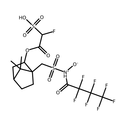 CC1(C)C2CCC1(CS(=O)(=O)[NH+]([O-])C(=O)C(F)(F)C(F)(F)C(F)(F)F)C(OC(=O)C(F)S(=O)(=O)O)C2